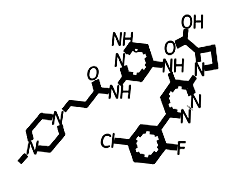 CN1CCN(CCC(=O)Nc2cc(Nc3cc(-c4cc(Cl)ccc4F)nnc3N3CCC3C(=O)O)ccn2)CC1.N